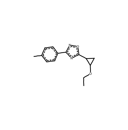 CCOC1CC1c1nc(-c2ccc(C)cc2)no1